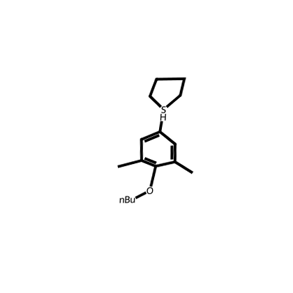 CCCCOc1c(C)cc([SH]2CCCC2)cc1C